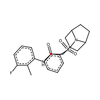 Cc1c(F)cccc1NC(=O)CN1CC2CCC(C1)N2S(=O)(=O)c1ccccc1